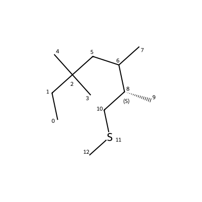 CCC(C)(C)CC(C)[C@H](C)CSC